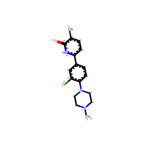 CN1CCN(c2ccc(-c3ccc(C#N)c(=O)[nH]3)cc2Cl)CC1